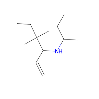 C=CC(NC(C)CC)C(C)(C)CC